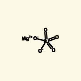 [Mg+2].[O]=[Ru](=[O])(=[O])([O-])[O-]